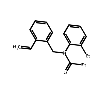 C=Cc1ccccc1CN(C(=O)C(C)C)c1ccccc1CC